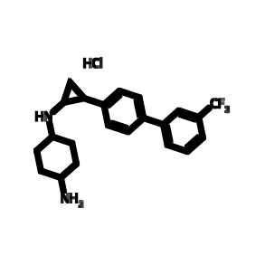 Cl.NC1CCC(NC2CC2c2ccc(-c3cccc(C(F)(F)F)c3)cc2)CC1